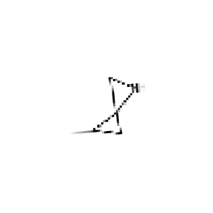 CC1CC12CN2